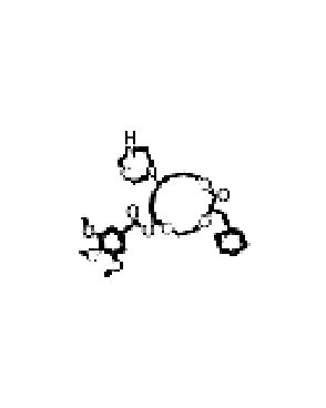 COc1cc(C(=O)O[C@H]2CCCOC(Cc3ccccc3)C(=O)OCCCC(N3CCCNCC3)CC2)cc(OC)c1OC